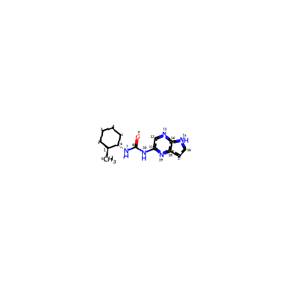 C[C@H]1CCCC[C@@H]1NC(=O)Nc1cnc2[nH]ccc2n1